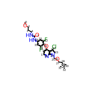 COCCCNC(=O)Nc1cc(F)c(Oc2ccnc3c2c(Cl)cn3COCC[Si](C)(C)C)c(F)c1